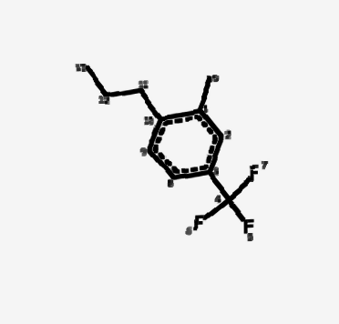 [CH2]c1cc(C(F)(F)F)ccc1CCC